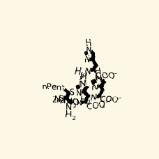 CCCCCC(=S)C(=S)C(N)=O.N[C@@H](Cc1c[nH]cn1)C(=O)[O-].N[C@@H](Cc1c[nH]cn1)C(=O)[O-].N[C@@H](Cc1c[nH]cn1)C(=O)[O-].[Na+].[Zn+2]